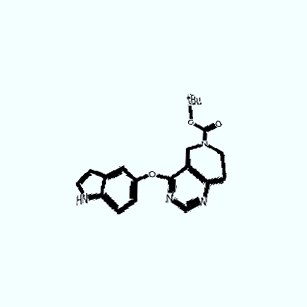 CC(C)(C)OC(=O)N1CCc2ncnc(Oc3ccc4[nH]ccc4c3)c2C1